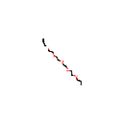 C#CCOCCOCCOCCOCCOCCC